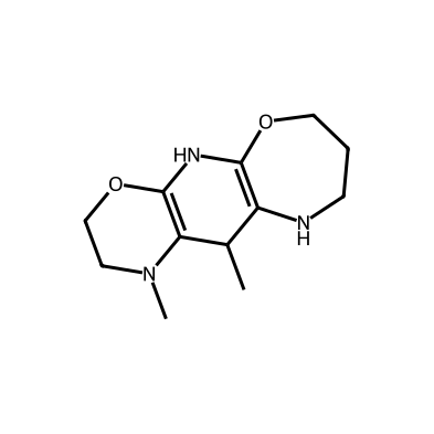 CC1C2=C(NC3=C1N(C)CCO3)OCCCN2